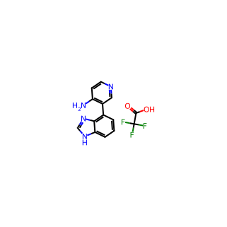 Nc1ccncc1-c1cccc2[nH]cnc12.O=C(O)C(F)(F)F